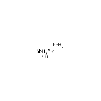 [Ag].[Cu].[PbH2].[SbH3]